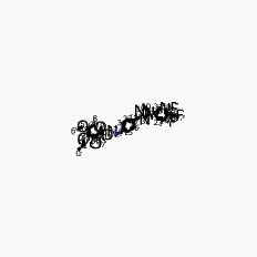 CCO[C@@H]1[C@@H](OC)[C@H](C)O[C@@H](O/N=C/c2ccc(-c3ncn(-c4ccc(C(F)(F)F)nc4)n3)cc2)[C@@H]1OC